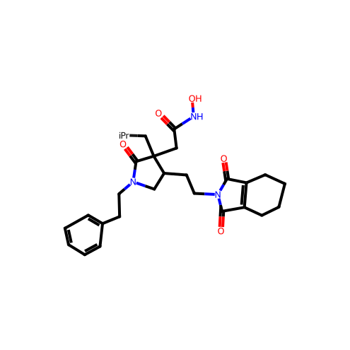 CC(C)CC1(CC(=O)NO)C(=O)N(CCc2ccccc2)CC1CCN1C(=O)C2=C(CCCC2)C1=O